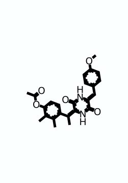 COc1ccc(C=c2[nH]c(=O)c(=C(C)c3ccc(OC(C)=O)c(C)c3C)[nH]c2=O)cc1